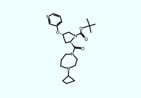 CC(C)(C)OC(=O)N1C[C@@H](Oc2cccnc2)C[C@@H]1C(=O)N1CCCN(C2CCC2)CC1